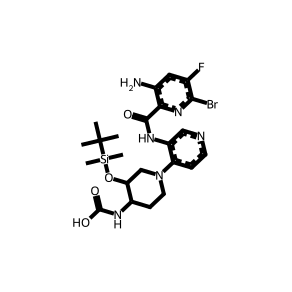 CC(C)(C)[Si](C)(C)OC1CN(c2ccncc2NC(=O)c2nc(Br)c(F)cc2N)CCC1NC(=O)O